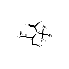 CC(C)(C)N(C(=O)O)[C@@H](CO)[C@H]1CO1